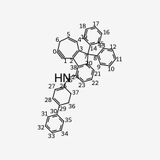 C1#CC2=C(C=CC1)C(c1ccccc1)(c1ccccc1)c1cccc(NC3=CC=C(c4ccccc4)CC3)c12